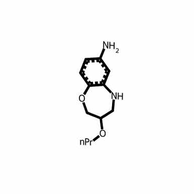 CCCOC1CNc2cc(N)ccc2OC1